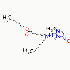 CCCCCCCCOC(=O)CCCCCCCN(CCCCCCCC)CCCN(C)/C=C\C(N)=N/C=O